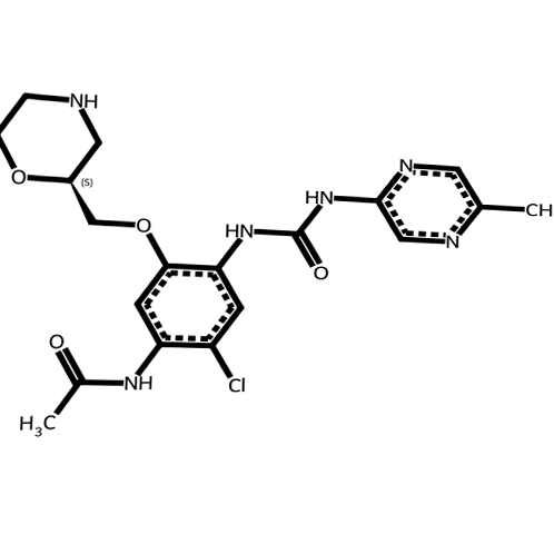 CC(=O)Nc1cc(OC[C@@H]2CNCCO2)c(NC(=O)Nc2cnc(C)cn2)cc1Cl